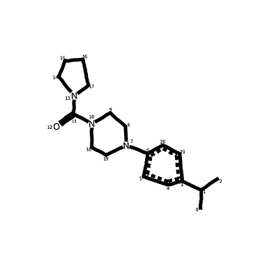 CC(C)c1ccc(N2CCN(C(=O)N3CCCC3)CC2)cc1